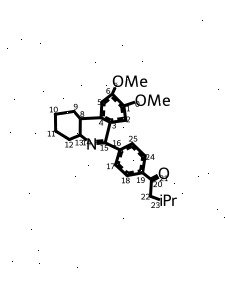 COc1cc2c(cc1OC)C1CCCCC1N=C2c1ccc(C(=O)CC(C)C)cc1